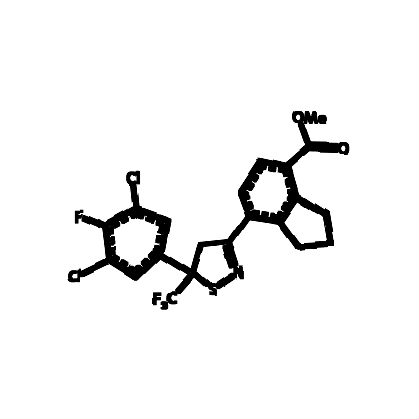 COC(=O)c1ccc(C2=NSC(c3cc(Cl)c(F)c(Cl)c3)(C(F)(F)F)C2)c2c1CCC2